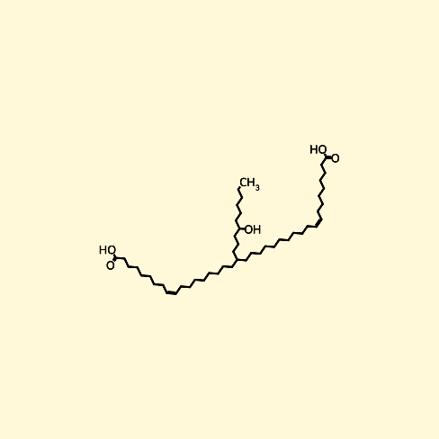 CCCCCCC(O)CCCC(CCCCCCCC/C=C\CCCCCCCC(=O)O)CCCCCCCCCC/C=C\CCCCCCCC(=O)O